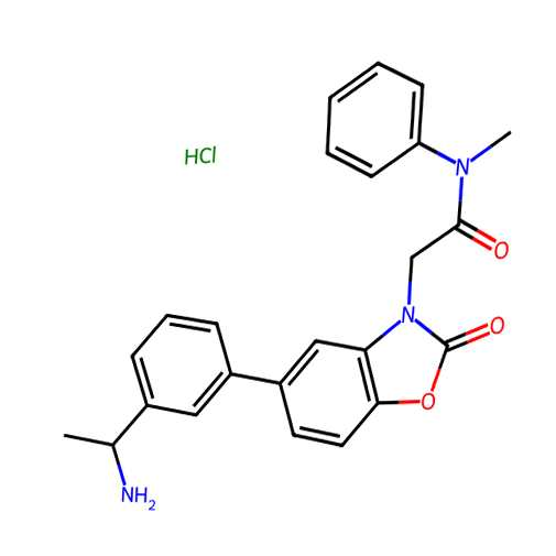 CC(N)c1cccc(-c2ccc3oc(=O)n(CC(=O)N(C)c4ccccc4)c3c2)c1.Cl